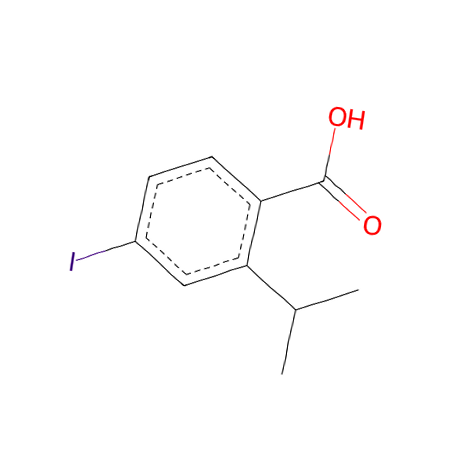 CC(C)c1cc(I)ccc1C(=O)O